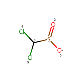 [O]S(=O)C(Cl)Cl